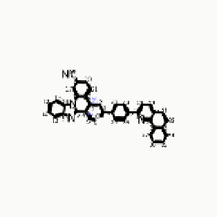 C=C(/C=c1\c(=C/C)c2nc3ccccc3n2c2cc(C#N)ccc12)c1ccc(-c2ccc3ccc4ccccc4c3n2)cc1